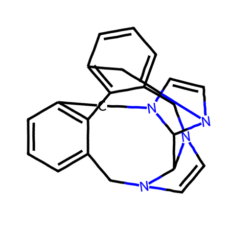 C1=CN2Cc3cccc4c3-c3c5cccc3CN3C=CN(C4)C3C2N1C5